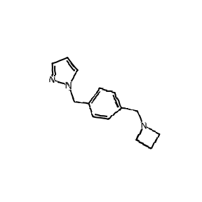 c1cnn(Cc2ccc(CN3CCC3)cc2)c1